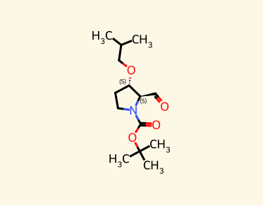 CC(C)CO[C@H]1CCN(C(=O)OC(C)(C)C)[C@@H]1C=O